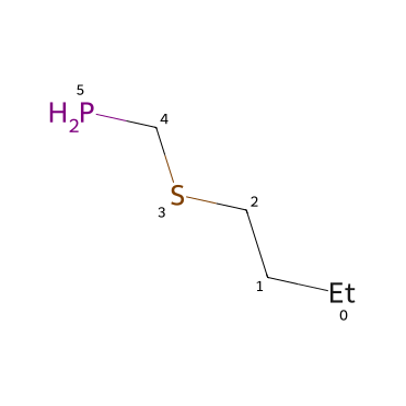 CCCCSCP